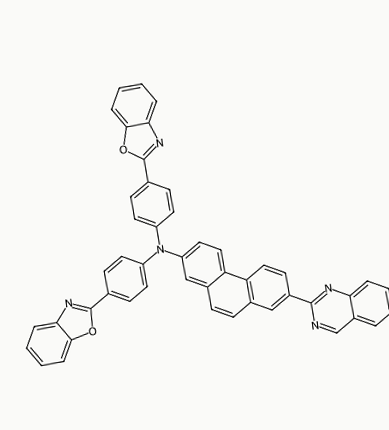 c1ccc2nc(-c3ccc4c(ccc5cc(N(c6ccc(-c7nc8ccccc8o7)cc6)c6ccc(-c7nc8ccccc8o7)cc6)ccc54)c3)ncc2c1